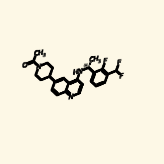 CC(=O)N1CCC(c2ccc3nccc(N[C@H](C)c4cccc(C(F)F)c4F)c3c2)CC1